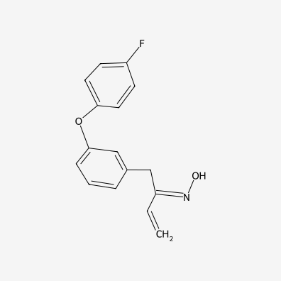 C=C/C(Cc1cccc(Oc2ccc(F)cc2)c1)=N/O